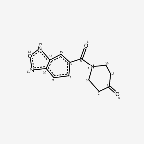 O=C1CCN(C(=O)c2ccc3nonc3c2)CC1